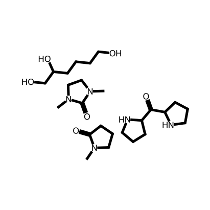 CN1CCCC1=O.CN1CCN(C)C1=O.O=C(C1CCCN1)C1CCCN1.OCCCCC(O)CO